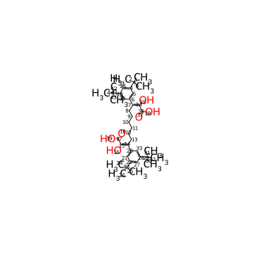 CC(C)(C)c1cc(C(CCCCCCC(=C(O)C(=O)O)c2cc(C(C)(C)C)cc(C(C)(C)C)c2)=C(O)C(=O)O)cc(C(C)(C)C)c1